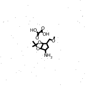 COCC1CC(N)C2OC(C)(C)OC12.O=C(O)C(=O)O